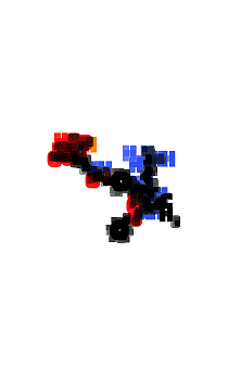 CC(C)C[C@H](NC(=O)OCc1ccccc1)C(=O)N[C@@H](CCCNC(=N)N)C(=O)Nc1ccc(COC(=O)NCCCC(O)(O[PH](=O)O)O[PH](=O)O)cc1